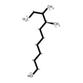 CCC(C)[C@@H](C)CCCCCCO